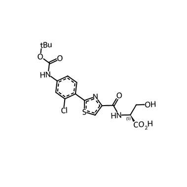 CC(C)(C)OC(=O)Nc1ccc(-c2nc(C(=O)N[C@@H](CO)C(=O)O)cs2)c(Cl)c1